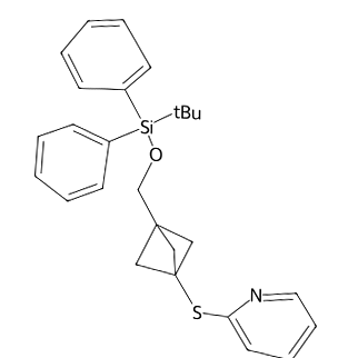 CC(C)(C)[Si](OCC12CC(Sc3ccccn3)(C1)C2)(c1ccccc1)c1ccccc1